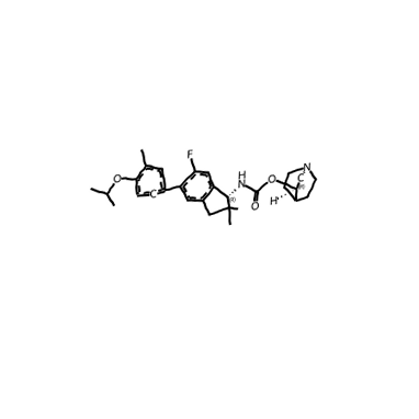 Cc1cc(-c2cc3c(cc2F)[C@H](NC(=O)O[C@H]2CN4CCC2CC4)C(C)(C)C3)ccc1OC(C)C